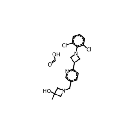 CC1(O)CN(Cc2ccc(C3CN(c4c(Cl)cccc4Cl)C3)nc2)C1.O=CO